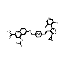 O=C(O)c1cc(OC(F)F)c2cc(OCC34CCC(/C=C/c5c(-c6c(Cl)cncc6Cl)noc5C5CC5)(CC3)CC4)ccc2n1